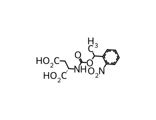 CC(OC(=O)N[C@@H](CC(=O)O)C(=O)O)c1ccccc1[N+](=O)[O-]